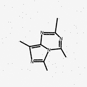 Cc1nc(C)n2c(C)nc(C)c2n1